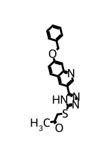 CC(=O)CSc1nnc(-c2cnc3cc(OCc4ccccc4)ccc3c2)[nH]1